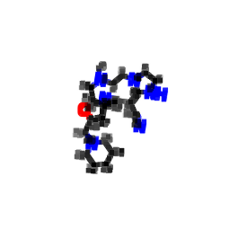 CN(CCN1CCNC1=C(C#N)C#N)Cc1ccc(CN2CCCCC2)o1